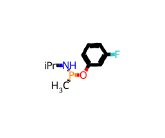 CC(C)NP(C)Oc1cccc(F)c1